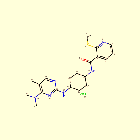 CCCSc1ncccc1C(=O)NC1CCC(Nc2ncc(C)c(N(C)C)n2)CC1.Cl